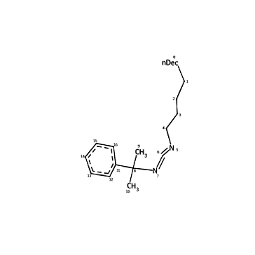 CCCCCCCCCCCCCCN=C=NC(C)(C)c1ccccc1